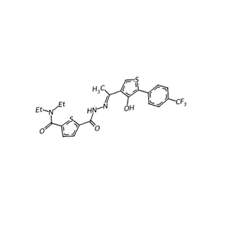 CCN(CC)C(=O)c1ccc(C(=O)NN=C(C)c2csc(-c3ccc(C(F)(F)F)cc3)c2O)s1